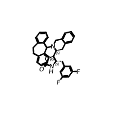 O=C1N[C@@H](Cc2cc(F)cc(F)c2)[C@H]([C@@H]2Cc3ccccc3CN2C2c3ccccc3CCc3ccccc32)O1